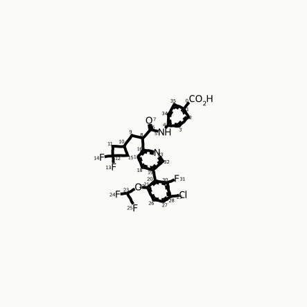 O=C(O)c1ccc(NC(=O)C(CC2CC(F)(F)C2)c2ccc(-c3c(OC(F)F)ccc(Cl)c3F)cn2)cc1